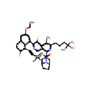 COCOc1cc(-c2ncc3c(N4CC5CCC(C4)N5C(=O)OC(C)(C)C)nc(CCCC(C)(C)O)c(C)c3c2F)c2c(C#C[Si](C(C)C)(C(C)C)C(C)C)c(F)ccc2c1